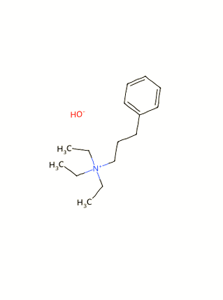 CC[N+](CC)(CC)CCCc1ccccc1.[OH-]